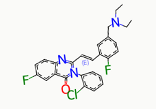 CCN(CC)Cc1ccc(F)c(/C=C/c2nc3ccc(F)cc3c(=O)n2-c2ccccc2Cl)c1